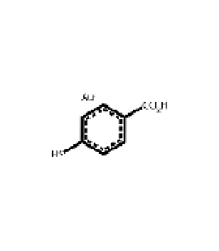 O=C(O)c1ccc(S)cc1.[Au]